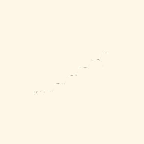 [CH2]CCC(=O)CCCCCCCCCCCCCCCC